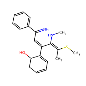 CNC(/C(=C\C(=N)c1ccccc1)C1=CC=CCC1O)=C(/C)SC